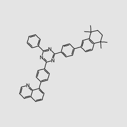 CC1(C)CCC(C)(C)c2cc(-c3ccc(-c4nc(-c5ccccc5)nc(-c5ccc(-c6cccc7cccnc67)cc5)n4)cc3)ccc21